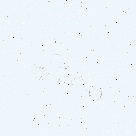 O=C(O)CN1CCC2(CC1)C(=O)N(c1ccc(-c3ccccc3)cc1)C(=O)N2c1cnccn1